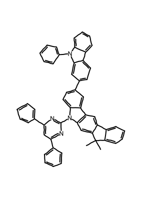 CC1(C)c2ccccc2-c2cc3c4cc(-c5ccc6c7ccccc7n(-c7ccccc7)c6c5)ccc4n(-c4nc(-c5ccccc5)cc(-c5ccccc5)n4)c3cc21